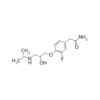 CC(C)NCC(O)COc1ccc(CC(N)=O)cc1F